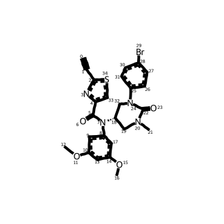 C#Cc1nc(C(=O)N(c2cc(OC)cc(OC)c2)[C@H]2CN(C)C(=O)N(c3ccc(Br)cc3)C2)cs1